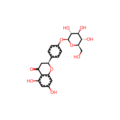 O=C1C[C@@H](c2ccc(O[C@@H]3O[C@H](CO)[C@@H](O)[C@H](O)[C@H]3O)cc2)Oc2cc(O)cc(O)c21